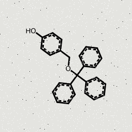 Oc1ccc(COC(c2ccccc2)(c2ccccc2)c2ccccc2)cc1